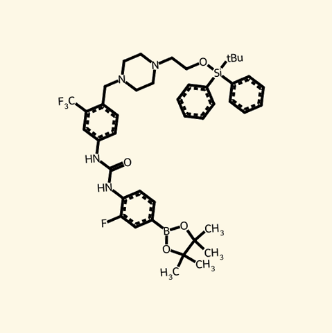 CC1(C)OB(c2ccc(NC(=O)Nc3ccc(CN4CCN(CCO[Si](c5ccccc5)(c5ccccc5)C(C)(C)C)CC4)c(C(F)(F)F)c3)c(F)c2)OC1(C)C